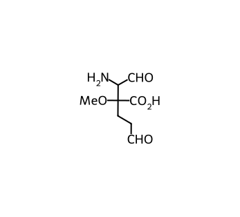 COC(CCC=O)(C(=O)O)C(N)C=O